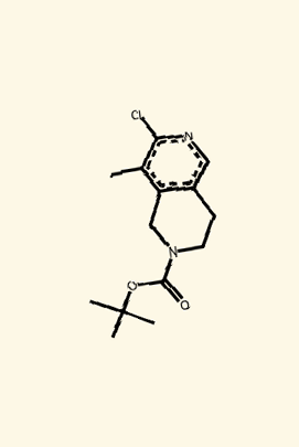 Cc1c(Cl)ncc2c1CN(C(=O)OC(C)(C)C)CC2